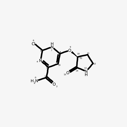 NC(=O)C1=NC(Cl)NC(O[C@H]2CCNC2=O)=C1